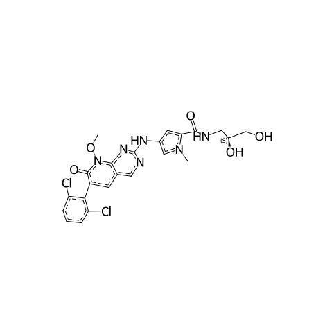 COn1c(=O)c(-c2c(Cl)cccc2Cl)cc2cnc(Nc3cc(C(=O)NC[C@H](O)CO)n(C)c3)nc21